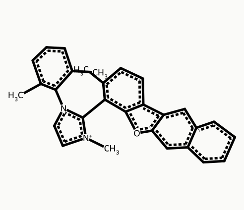 Cc1cccc(C)c1-n1cc[n+](C)c1-c1c(C)ccc2c1oc1cc3ccccc3cc12